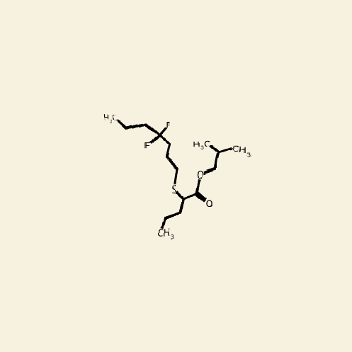 CCCC(SCCCC(F)(F)CCC)C(=O)OCC(C)C